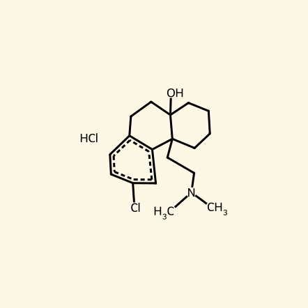 CN(C)CCC12CCCCC1(O)CCc1ccc(Cl)cc12.Cl